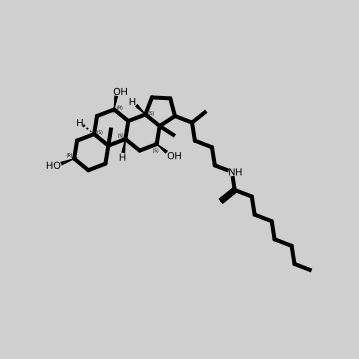 C=C(CCCCCCC)NCCCC(C)C1CC[C@H]2C3[C@H](O)C[C@@H]4C[C@H](O)CCC4(C)[C@H]3C[C@H](O)C12C